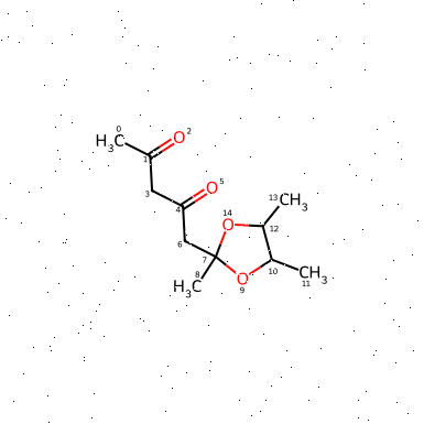 CC(=O)CC(=O)CC1(C)OC(C)C(C)O1